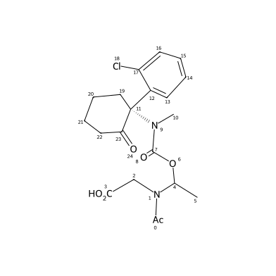 CC(=O)N(CC(=O)O)C(C)OC(=O)N(C)[C@@]1(c2ccccc2Cl)CCCCC1=O